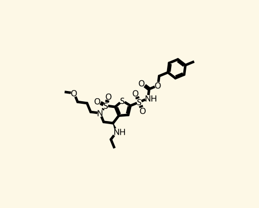 CCN[C@H]1CN(CCCOC)S(=O)(=O)c2sc(S(=O)(=O)NC(=O)OCc3ccc(C)cc3)cc21